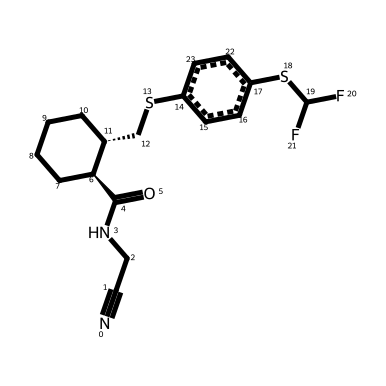 N#CCNC(=O)[C@H]1CCCC[C@@H]1CSc1ccc(SC(F)F)cc1